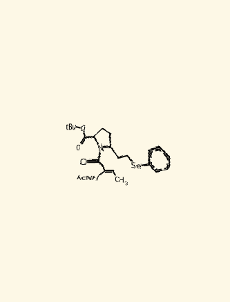 CC=C(NC(C)=O)C(=O)N1C(CC[Se]c2ccccc2)CCC1C(=O)OC(C)(C)C